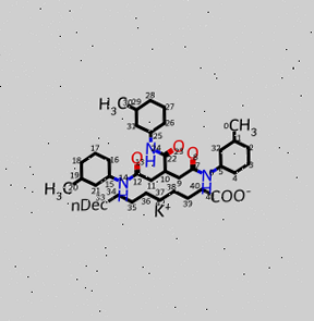 CC1CCCC(NC(=O)CC(CC(=O)NC2CCCC(C)C2)C(=O)NC2CCCC(C)C2)C1.CCCCCCCCCCCCCCCCCC(=O)[O-].[K+]